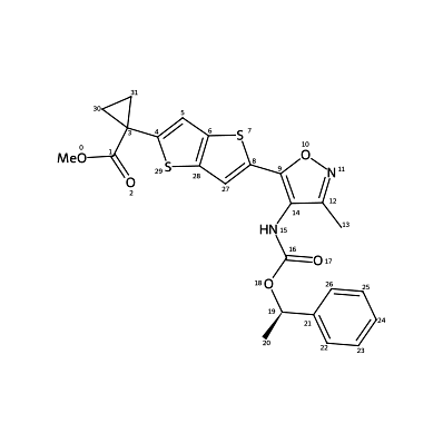 COC(=O)C1(c2cc3sc(-c4onc(C)c4NC(=O)O[C@H](C)c4ccccc4)cc3s2)CC1